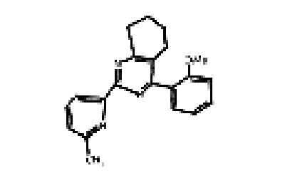 COc1ccccc1-c1nc(-c2cccc(C)n2)nc2c1CCCC2